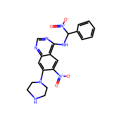 O=[N+]([O-])c1cc2c(NC(c3ccccc3)[N+](=O)[O-])ncnc2cc1N1CCNCC1